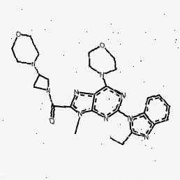 CCc1nc2ccccc2n1-c1nc(N2CCOCC2)c2nc(C(=O)N3CC(N4CCOCC4)C3)n(C)c2n1